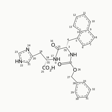 O=C(N[C@@H](Cc1cccc2ccccc12)C(=O)N[C@@H](Cc1c[nH]cn1)C(=O)O)OCc1ccccc1